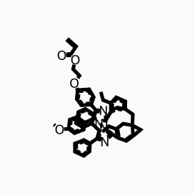 C=CC(=O)OCCOc1ccc(C2=NC3(N=C2c2ccc(OC)cc2)c2cc(ccc2CC)CC24CC2=CC(=C(CC)C4)c2nc(-c4ccccc4)c(-c4ccccc4)n23)cc1